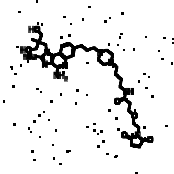 CCCCc1nc2c(N)nc3cc(CCCN4CCN(CCCCNC(=O)CCOCCN5C(=O)C=CC5=O)CC4)ccc3c2n1CC(C)(CO)CO